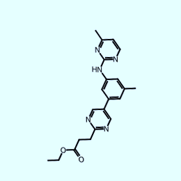 CCOC(=O)CCc1ncc(-c2cc(C)cc(Nc3nccc(C)n3)c2)cn1